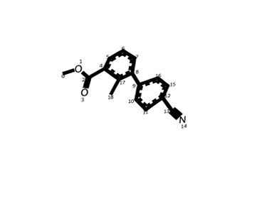 COC(=O)c1cccc(-c2ccc(C#N)cc2)c1C